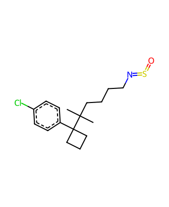 CC(C)(CCCCN=S=O)C1(c2ccc(Cl)cc2)CCC1